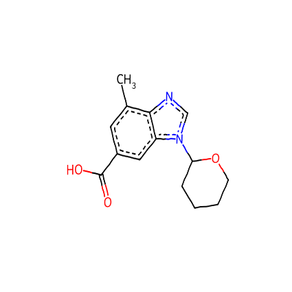 Cc1cc(C(=O)O)cc2c1ncn2C1CCCCO1